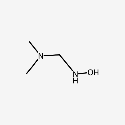 CN(C)CNO